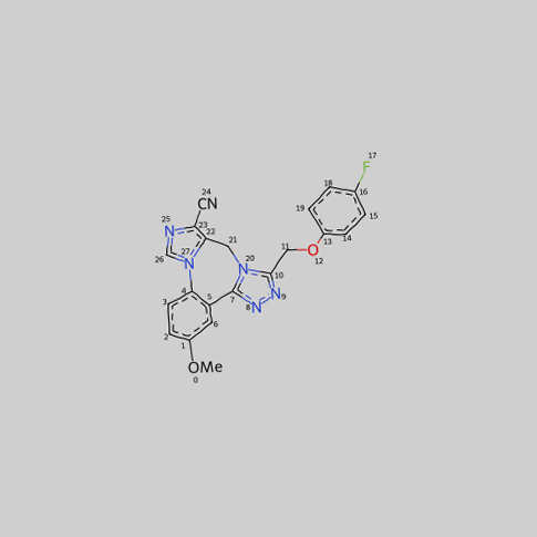 COc1ccc2c(c1)-c1nnc(COc3ccc(F)cc3)n1Cc1c(C#N)ncn1-2